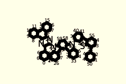 c1ccc(-c2nc3c4ccccc4c4ccccc4c3nc2-n2c3ccccc3c3c4c5ccccc5n(-c5cccc6c5sc5c(-c7ccccc7)cccc56)c4ccc32)cc1